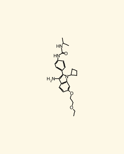 CCOCCOc1ccc2c(N)c(-c3ccc(NC(=O)NC(C)C)cc3)n(C3CCC3)c2c1